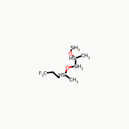 C[SiH](CCC(F)(F)F)O[SiH2][SiH](C)O[SiH3]